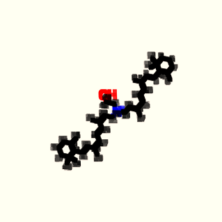 CC(C=CC1=C(C)CCCC1(C)C)=CC=CC(C)=CC=[N+](CC=C(C)C=CC=C(C)C=CC1=C(C)CCCC1(C)C)CCO